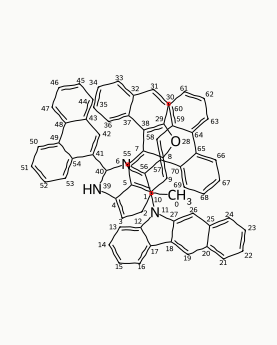 CC1C/C=C(\c2cc3c(cc2-n2c4ccccc4c4cc5ccccc5cc42)oc2ccc4ccccc4c23)NC(c2cc3ccccc3c3ccccc23)/N=C\1c1cc2ccccc2c2ccccc12